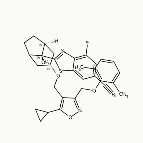 Cc1cccc(C)c1OCc1noc(C2CC2)c1CO[C@@H]1CC2CC[C@@H](C1)[C@]2(O)c1nc2c(F)cc(C#N)cc2s1